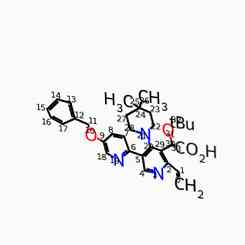 C=Cc1ncc(-c2ccc(OCc3ccccc3)cn2)c(N2CCC(C)(C)CC2)c1C(OC(C)(C)C)C(=O)O